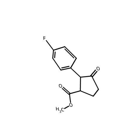 COC(=O)C1CCC(=O)C1c1ccc(F)cc1